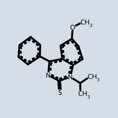 COc1ccc2c(c1)c(-c1ccccc1)nc(=S)n2C(C)C